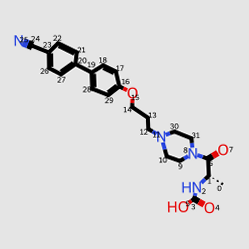 C[C@H](NC(=O)O)C(=O)N1CCN(CCCOc2ccc(-c3ccc(C#N)cc3)cc2)CC1